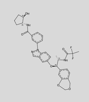 C[C@H](NC(=O)C(C)(F)F)[C@H](Oc1ccc2c(cnn2-c2cccc(C(=O)N[C@@H]3CCC[C@H]3O)c2)c1)c1ccc2c(c1)OCOC2